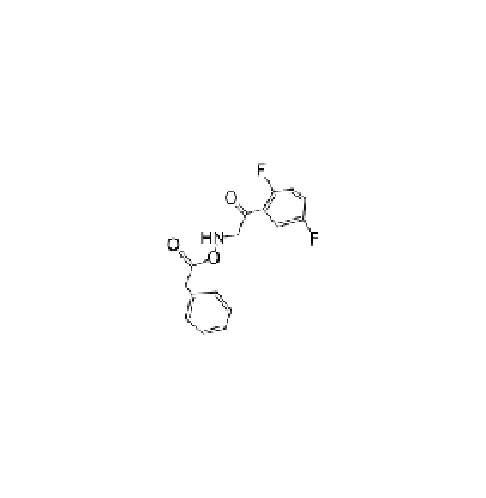 O=C(Cc1ccccc1)ONCC(=O)c1cc(F)ccc1F